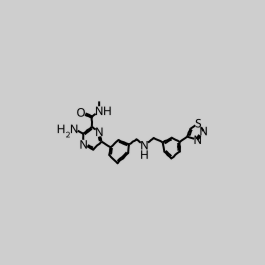 CNC(=O)c1nc(-c2cccc(CNCc3cccc(-c4csnn4)c3)c2)cnc1N